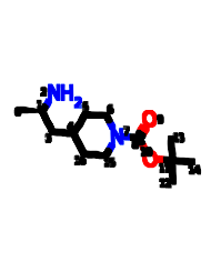 C[C@@H](N)CC1CCN(C(=O)OC(C)(C)C)CC1